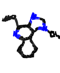 COc1nc2ccccc2c2c1ncn2C